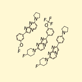 FC1CCN(c2ccn3cc(-c4ccc(N5CCCC5)cc4)nc3n2)CC1.FC1CCN(c2ccn3cc(-c4cccc(OC(F)(F)F)c4)nc3n2)CC1.FCOc1cccc(-c2cn3ccc(N4CCCC4)nc3n2)c1